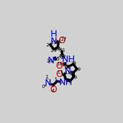 CN(C)C(=O)CNc1ccc2n(c1=O)[C@H](C(=O)N[C@H](C#N)C[C@@H]1CCNC1=O)CC2